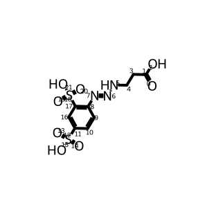 O=C(O)CCNN=Nc1ccc(S(=O)(=O)O)cc1S(=O)(=O)O